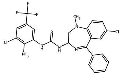 CN1CC(NC(=S)Nc2cc(C(F)(F)F)cc(Cl)c2N)N=C(c2ccccc2)c2cc(Cl)ccc21